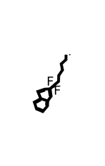 [CH2]CCCCCC(F)(F)c1ccc2ccccc2c1